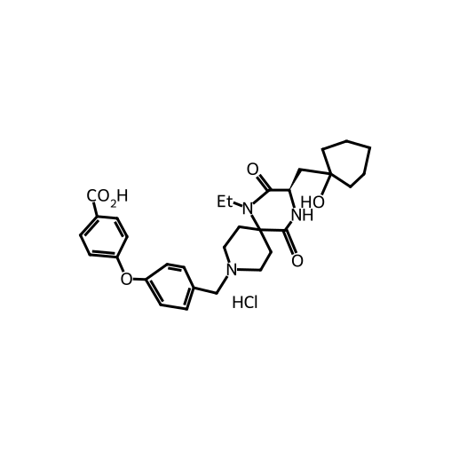 CCN1C(=O)[C@@H](CC2(O)CCCCC2)NC(=O)C12CCN(Cc1ccc(Oc3ccc(C(=O)O)cc3)cc1)CC2.Cl